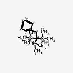 C[Si](C)(C)C(Cc1ccccc1)([Si](C)(C)C)[Si](C)(C)C